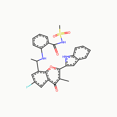 Cc1c(-c2cc3ccccc3[nH]2)oc2c(C(C)Nc3ccccc3C(=O)NS(C)(=O)=O)cc(F)cc2c1=O